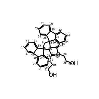 O=C(CC1(CC2(CC(=O)OCCO)c3ccccc3-c3ccccc32)c2ccccc2-c2ccccc21)OCCO